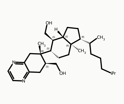 CC(C)CCCC(C)[C@H]1CC[C@H]2[C@H](CO)[C@@H]([C@@]3(C)Cc4nccnc4C[C@@H]3CO)CC[C@]12C